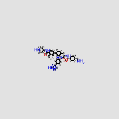 NC[C@H]1CC[C@H](C(=O)N[C@@H](Cc2ccc(-c3ccc(C(=O)NC4CCNCC4)c(C(F)(F)F)c3)cc2)C(=O)Nc2ccc(-c3nn[nH]n3)cc2)CC1